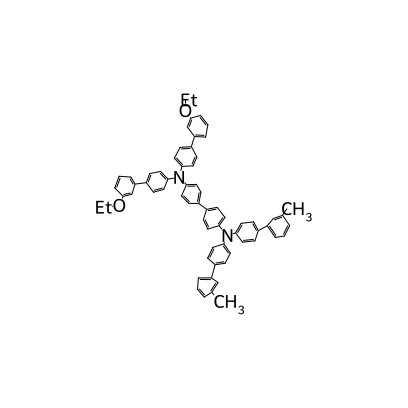 CCOc1cccc(-c2ccc(N(c3ccc(-c4ccc(N(c5ccc(-c6cccc(C)c6)cc5)c5ccc(-c6cccc(C)c6)cc5)cc4)cc3)c3ccc(-c4cccc(OCC)c4)cc3)cc2)c1